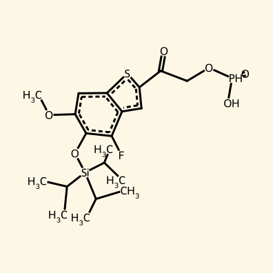 COc1cc2sc(C(=O)CO[PH](=O)O)cc2c(F)c1O[Si](C(C)C)(C(C)C)C(C)C